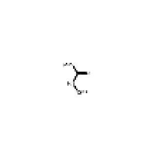 CSC(=O)N[C]=O